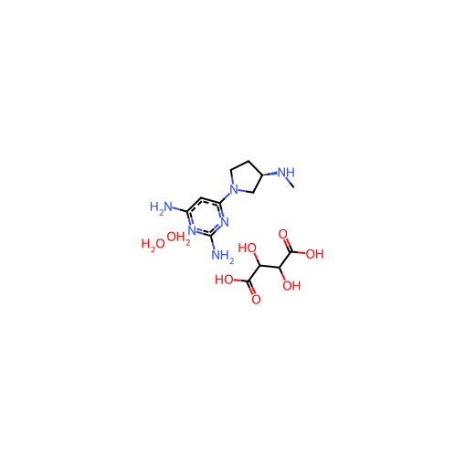 CN[C@@H]1CCN(c2cc(N)nc(N)n2)C1.O.O.O=C(O)C(O)C(O)C(=O)O